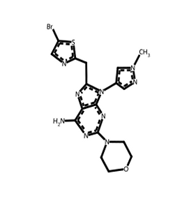 Cn1cc(-n2c(Cc3ncc(Br)s3)nc3c(N)nc(N4CCOCC4)nc32)cn1